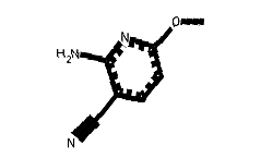 COc1ccc(C#N)c(N)n1